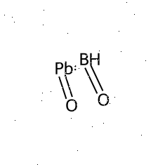 B=O.[O]=[Pb]